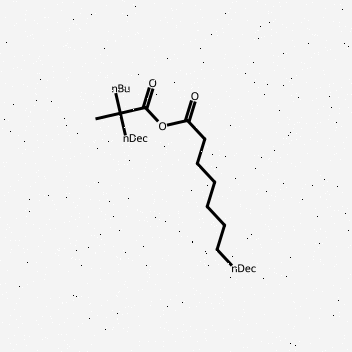 CCCCCCCCCCCCCCCCC(=O)OC(=O)C(C)(CCCC)CCCCCCCCCC